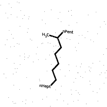 C[CH]CCCC(C)CCCCCCCCCCCC